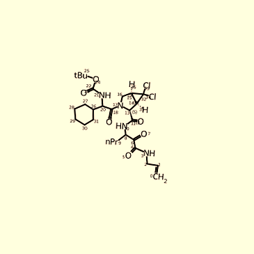 C=CCNC(=O)C(=O)C(CCC)NC(=O)[C@@H]1[C@H]2[C@@H](CN1C(=O)C(NC(=O)OC(C)(C)C)C1CCCCC1)C2(Cl)Cl